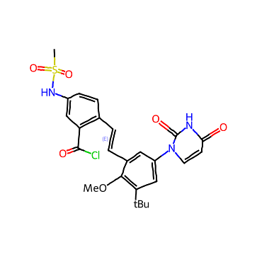 COc1c(/C=C/c2ccc(NS(C)(=O)=O)cc2C(=O)Cl)cc(-n2ccc(=O)[nH]c2=O)cc1C(C)(C)C